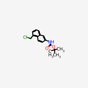 CC(C)(C)OC(=O)Nc1ccc2c(CCl)cccc2c1